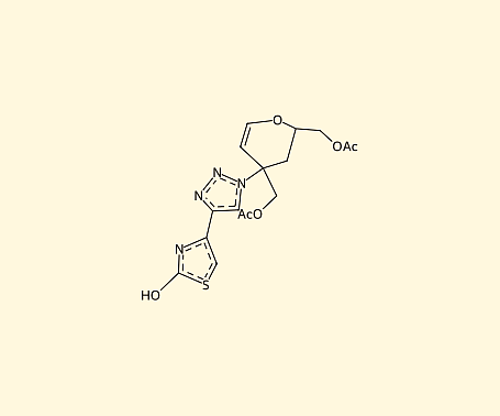 CC(=O)OCC1CC(COC(C)=O)(n2cc(-c3csc(O)n3)nn2)C=CO1